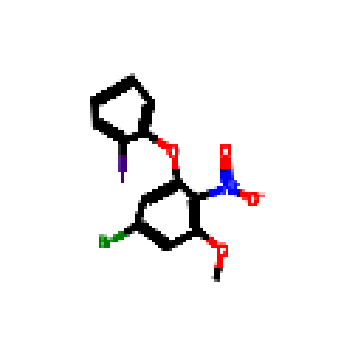 COc1cc(Br)cc(Oc2ccccc2I)c1[N+](=O)[O-]